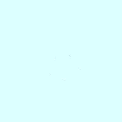 CC(Nc1ncnc2c1ncn2C1CCCO1)C1CCCO1